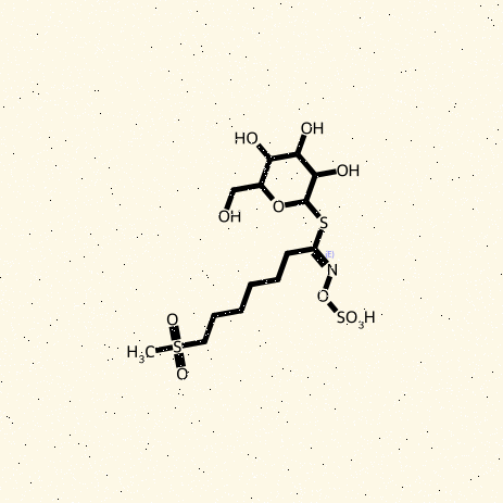 CS(=O)(=O)CCCCCC/C(=N\OS(=O)(=O)O)SC1OC(CO)C(O)C(O)C1O